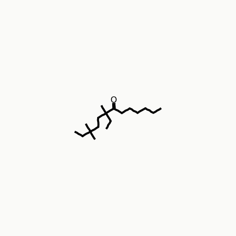 CCCCCCC(=O)C(C)(CC)CCC(C)(C)CC